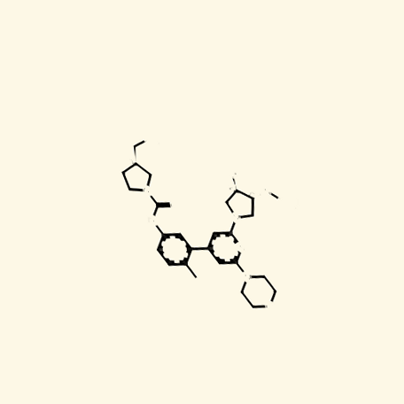 Cc1ccc(NC(=O)N2CC[C@@H](CC(F)(F)F)C2)cc1-c1cc(N2CCOCC2)nc(N2C[C@@H](O)[C@H](NC(=O)O)C2)c1